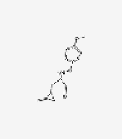 C=C1CC1CC(C=O)NOc1ccc(OC)cc1